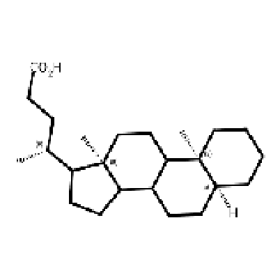 C[C@H](CCC(=O)O)C1CCC2C3CC[C@@H]4CCCC[C@]4(C)C3CC[C@@]21C